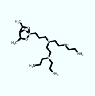 CC1O[Si]2(CCCN(CCNCCN)CCN(CCN)CCN)OC(C)C1O2